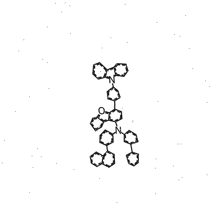 c1ccc(-c2cccc(N(c3cccc(-c4cccc5ccccc45)c3)c3ccc(-c4ccc(-n5c6ccccc6c6ccccc65)cc4)c4oc5ccccc5c34)c2)cc1